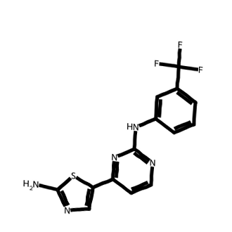 Nc1ncc(-c2ccnc(Nc3cccc(C(F)(F)F)c3)n2)s1